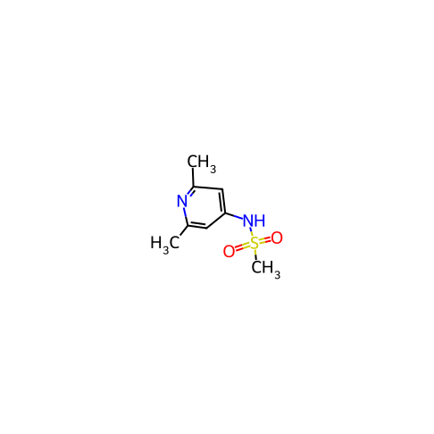 Cc1cc(NS(C)(=O)=O)cc(C)n1